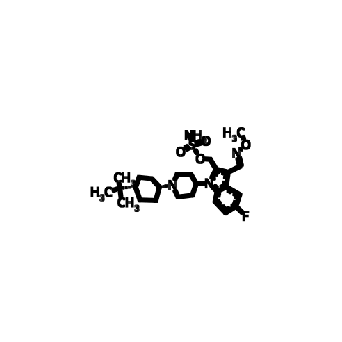 CO/N=C/c1c(COS(N)(=O)=O)n(C2CCN([C@H]3CC[C@@H](C(C)(C)C)CC3)CC2)c2ccc(F)cc12